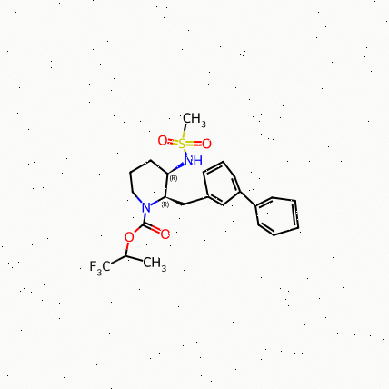 CC(OC(=O)N1CCC[C@@H](NS(C)(=O)=O)[C@H]1Cc1cccc(-c2ccccc2)c1)C(F)(F)F